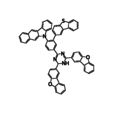 c1ccc2cc3c(cc2c1)c1ccccc1n3-c1ccc(C2=NC(c3ccc4oc5ccccc5c4c3)NC(c3ccc4oc5ccccc5c4c3)=N2)cc1-c1ccc2sc3ccccc3c2c1